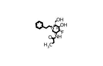 CCC(=O)N[C@H]1CN(CCc2ccccc2)[C@H](CO)[C@@H](O)[C@@H]1F